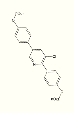 CCCCCCCCOc1ccc(-c2cnc(-c3ccc(OCCCCCCCC)cc3)c(Cl)c2)cc1